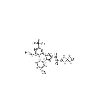 CC(F)(F)c1cc(-c2sc(NC(=O)N3CC4(COC4)C3)nc2-c2cccc(C#N)c2)cc(CO)n1